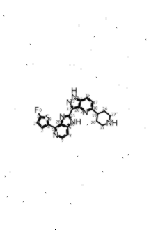 Fc1ccc(-c2nccc3[nH]c(-c4n[nH]c5ccc(C6CCNCC6)nc45)nc23)s1